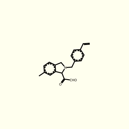 C=Cc1ccc(CN2Cc3ccc(C)cc3C2C(=O)C=O)cc1